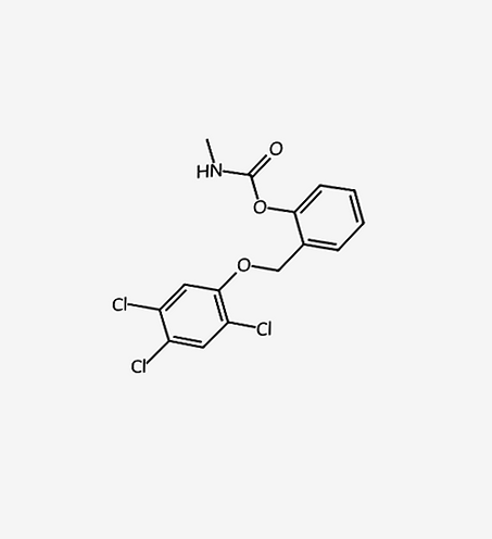 CNC(=O)Oc1ccccc1COc1cc(Cl)c(Cl)cc1Cl